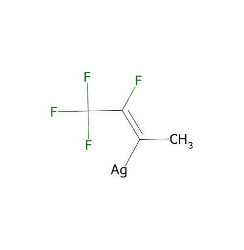 C[C]([Ag])=C(F)C(F)(F)F